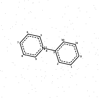 c1ccc(-[n+]2ccccc2)cc1